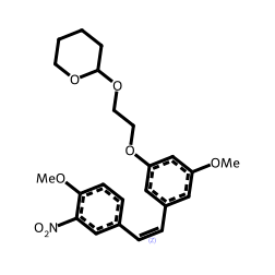 COc1cc(/C=C\c2ccc(OC)c([N+](=O)[O-])c2)cc(OCCOC2CCCCO2)c1